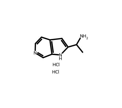 CC(N)c1cc2ccncc2[nH]1.Cl.Cl